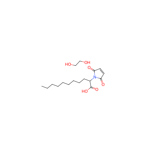 CCCCCCCCCC(C(=O)O)N1C(=O)C=CC1=O.OCCO